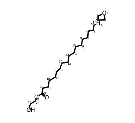 C1COC1.CCCCCCCCCCCCCCCCCC(=O)OCCO